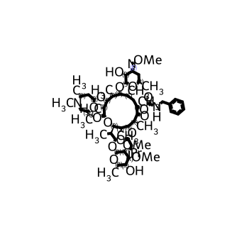 CO/N=C1\C[C@@H](C)O[C@@H](O[C@@H]2[C@@H](C)[C@H](O[C@H]3C[C@@H](C)N(C)C[C@H](C)O3)[C@@H](C)C(=O)O[C@H](C(C)CO[C@@H]3O[C@H](C)[C@@H](O)[C@@H](OC)[C@H]3OC)[C@H](C)[C@@H](OC(=O)CC(C)C)[C@@H](C)C(=O)[C@@](C)(OC(=O)NCc3ccccc3)C[C@@H]2C)[C@@H]1O